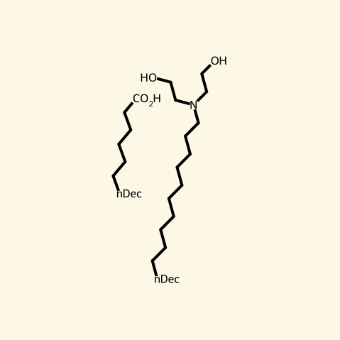 CCCCCCCCCCCCCCCC(=O)O.CCCCCCCCCCCCCCCCCCCCN(CCO)CCO